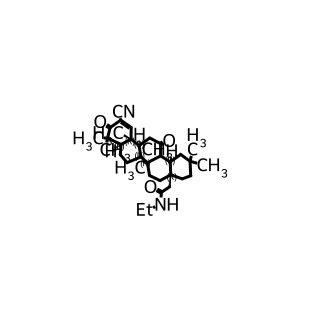 CCNC(=O)C[C@]12CCC(C)(C)C[C@@H]1C1C(=O)C[C@@H]3[C@@]4(C)C=C(C#N)C(=O)C(C)(C)[C@@H]4CC[C@@]3(C)[C@]1(C)CC2